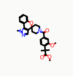 COC(=O)C(C)(C)c1ccc(C(=O)N2CCC3(CC2)Oc2ccccc2-c2c3cnn2C)cc1OC